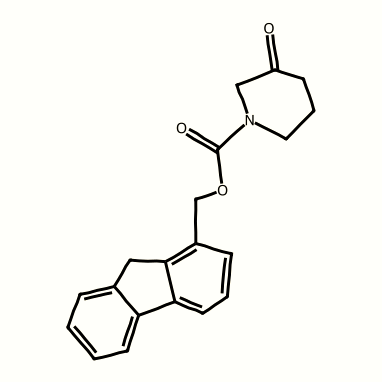 O=C1CCCN(C(=O)OCc2cccc3c2Cc2ccccc2-3)C1